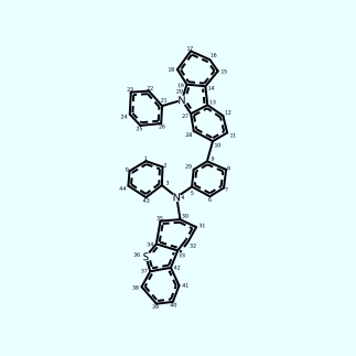 c1ccc(N(c2cccc(-c3ccc4c5ccccc5n(-c5ccccc5)c4c3)c2)c2ccc3c(c2)sc2ccccc23)cc1